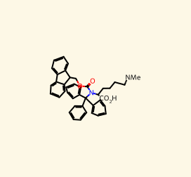 CNCCCC[C@@H](C(=O)O)N(C(=O)OCC1c2ccccc2-c2ccccc21)C(c1ccccc1)(c1ccccc1)c1ccccc1